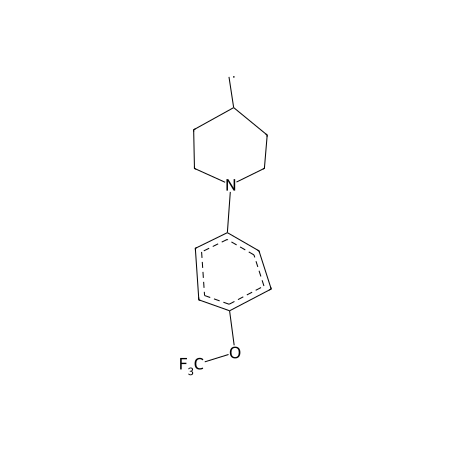 [CH2]C1CCN(c2ccc(OC(F)(F)F)cc2)CC1